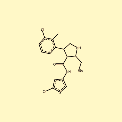 CC(C)(C)CC1NCC(c2cccc(Cl)c2F)C1C(=O)Nc1csc(Cl)c1